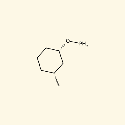 C[C@@H]1CCC[C@H](OP)C1